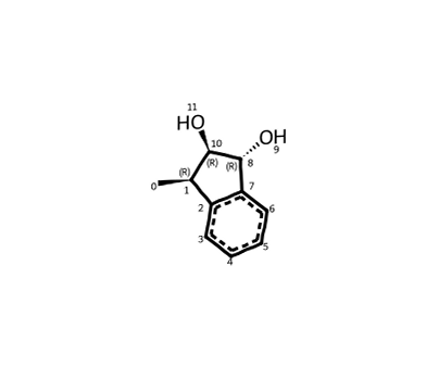 C[C@@H]1c2ccccc2[C@@H](O)[C@@H]1O